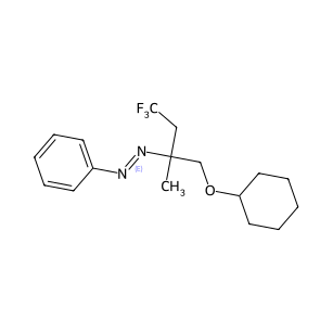 CC(COC1CCCCC1)(CC(F)(F)F)/N=N/c1ccccc1